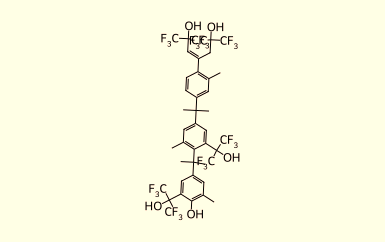 Cc1cc(C(C)(C)c2cc(C)c(C(C)(C)c3cc(C)c(O)c(C(O)(C(F)(F)F)C(F)(F)F)c3)c(C(O)(C(F)(F)F)C(F)(F)F)c2)ccc1/C(=C/C(O)(C(F)(F)F)C(F)(F)F)CC(O)(C(F)(F)F)C(F)(F)F